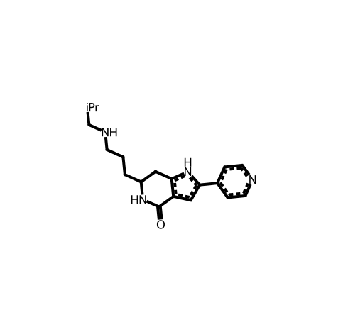 CC(C)CNCCCC1Cc2[nH]c(-c3ccncc3)cc2C(=O)N1